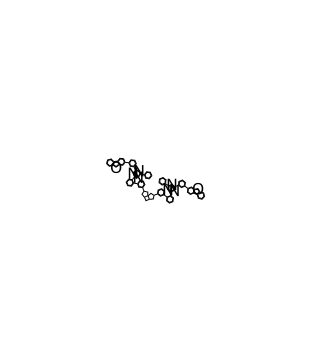 c1ccc(-c2nc(-c3cccc(-c4ccc5c(c4)oc4ccccc45)c3)nc(-c3ccccc3-c3cccc(C4CC5CC6CC(c7cccc(-c8ccccc8-c8nc(-c9ccccc9)nc(-c9cccc(-c%10ccc%11c(c%10)oc%10ccccc%10%11)c9)n8)c7)CC56C4)c3)n2)cc1